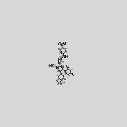 Cl.Cl.O=[N+]([O-])c1ccc(NCCNc2ncc(-c3ccc4[nH]cnc4c3)c(-c3ccc(Cl)cc3Cl)n2)nc1